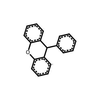 [c]1cccc2c1C(c1ccccc1)c1ccccc1O2